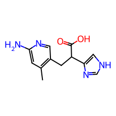 Cc1cc(N)ncc1CC(C(=O)O)c1c[nH]cn1